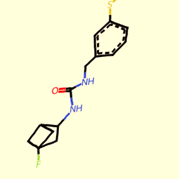 O=C(NCc1cccc(SC(F)(F)F)c1)NC1CC2(F)CC1C2